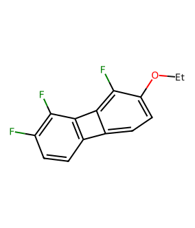 CCOc1ccc2c(c1F)-c1c-2ccc(F)c1F